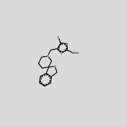 CC(=O)Nc1nc(F)c(CN2CCCC3(C2)OCc2ccccc23)s1